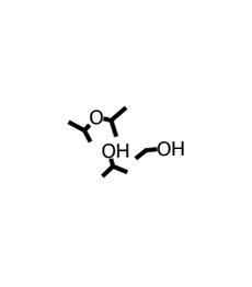 CC(C)O.CC(C)OC(C)C.CCO